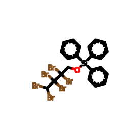 BrC(Br)C(Br)(Br)C(Br)(Br)CO[Si](c1ccccc1)(c1ccccc1)c1ccccc1